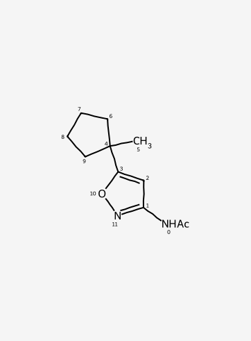 CC(=O)Nc1cc(C2(C)CCCC2)on1